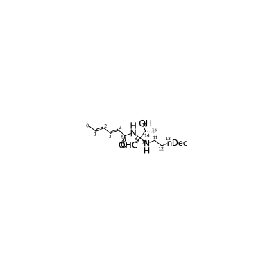 C/C=C/C=C/C(=O)N[C@@](C=O)(NCCCCCCCCCCCC)[C@@H](C)O